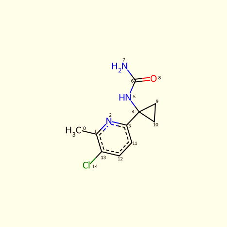 Cc1nc(C2(NC(N)=O)CC2)ccc1Cl